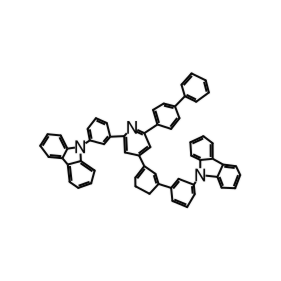 C1=C(c2cc(-c3ccc(-c4ccccc4)cc3)nc(-c3cccc(-n4c5ccccc5c5ccccc54)c3)c2)C=C(c2cccc(-n3c4ccccc4c4ccccc43)c2)CC1